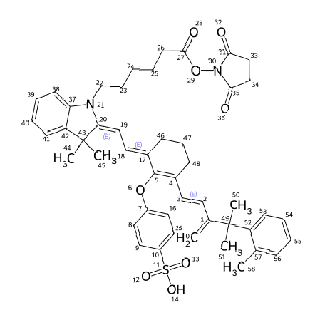 C=C(/C=C/C1=C(Oc2ccc(S(=O)(=O)O)cc2)C(=C/C=C2/N(CCCCCC(=O)ON3C(=O)CCC3=O)c3ccccc3C2(C)C)/CCC1)C(C)(C)c1ccccc1C